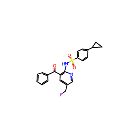 O=C(c1ccccc1)c1cc(CI)cnc1NS(=O)(=O)c1ccc(C2CC2)cc1